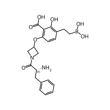 N[C@H](Cc1ccccc1)C(=O)N1CC(Oc2ccc(CCB(O)O)c(O)c2C(=O)O)C1